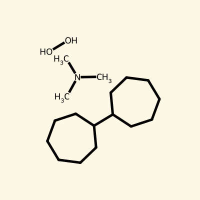 C1CCCC(C2CCCCCC2)CC1.CN(C)C.OO